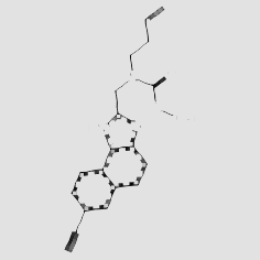 C#Cc1ccc2c(ccc3nc(CN(CCC=C)C(=O)OC(C)(C)C)[nH]c32)c1